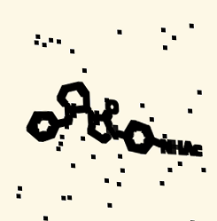 CC(=O)Nc1ccc(N2CCN(C3C=CCCN3Cc3ccccc3)C2=O)cc1